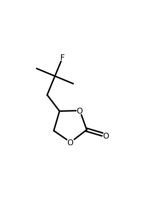 CC(C)(F)CC1COC(=O)O1